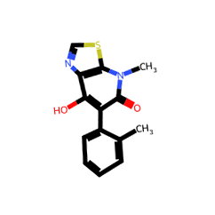 Cc1ccccc1-c1c(O)c2ncsc2n(C)c1=O